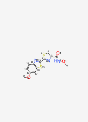 CONC(=O)C1CSC(c2nc3ccc(OC)cc3s2)=N1